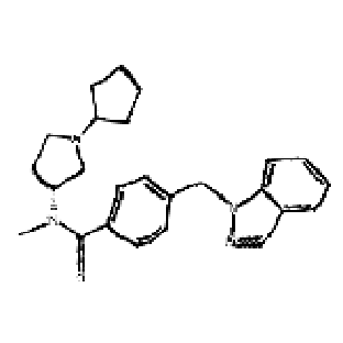 CN(C(=O)c1ccc(Cn2ncc3ccccc32)cc1)[C@@H]1CCN(C2CCCC2)C1